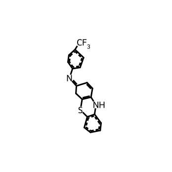 FC(F)(F)c1ccc(N=C2C=CC3=C(C2)Sc2ccccc2N3)cc1